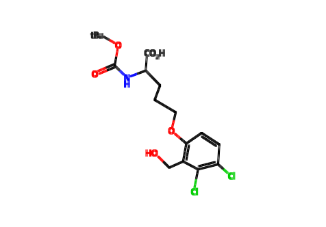 CC(C)(C)OC(=O)NC(CCCOc1ccc(Cl)c(Cl)c1CO)C(=O)O